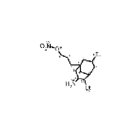 CCC1CC2CC(CCCO[N+](=O)[O-])(C1)CC(N)C2CC